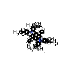 C[Si](C)(C)c1ccc(N(c2ccc([Si](C)(C)C)cc2)c2cc(C3CCCC3)c3ccc4c(N(c5ccc([Si](C)(C)C)cc5)c5ccc([Si](C)(C)C)cc5)cc(C5CCCC5)c5ccc2c3c54)cc1